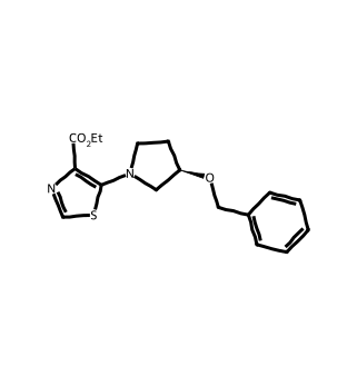 CCOC(=O)c1ncsc1N1CC[C@@H](OCc2ccccc2)C1